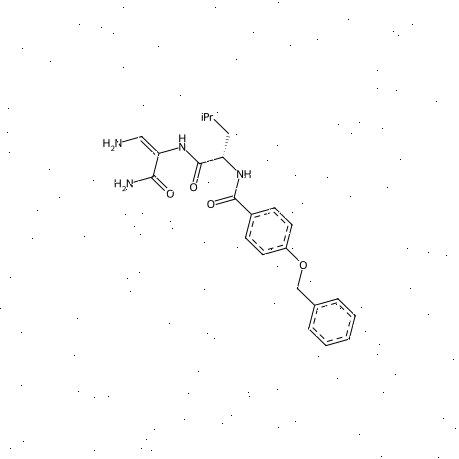 CC(C)C[C@H](NC(=O)c1ccc(OCc2ccccc2)cc1)C(=O)N/C(=C/N)C(N)=O